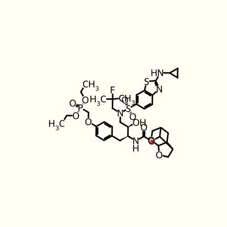 CCOP(=O)(COc1ccc(C[C@H](NC(=O)OC2C3COC4OCC2C4C3)[C@H](O)CN(CC(C)(C)F)S(=O)(=O)c2ccc3nc(NC4CC4)sc3c2)cc1)OCC